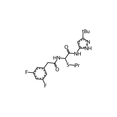 CC(C)SC(NC(=O)Cc1cc(F)cc(F)c1)C(=O)Nc1cc(C(C)(C)C)n[nH]1